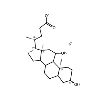 C[C@H](CCC(=O)[O-])[C@H]1CCC2C3CCC4C[C@H](O)CC[C@]4(C)C3C(O)C[C@@]21C.[K+]